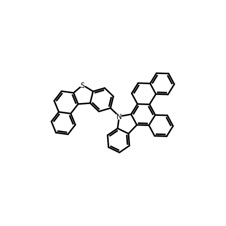 c1ccc2c(c1)ccc1sc3ccc(-n4c5ccccc5c5c6ccccc6c6c7ccccc7ccc6c54)cc3c12